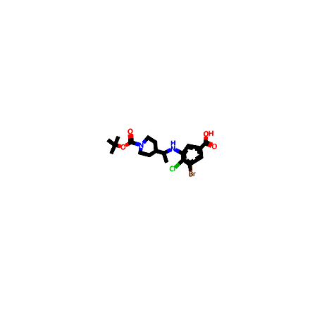 CC(Nc1cc(C(=O)O)cc(Br)c1Cl)C1CCN(C(=O)OC(C)(C)C)CC1